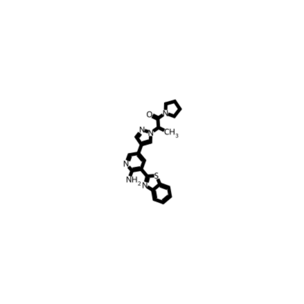 CC(C(=O)N1CCCC1)n1cc(-c2cnc(N)c(-c3nc4ccccc4s3)c2)cn1